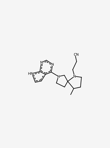 CC1CCN(CCC#N)C12CCN(c1ncnc3[nH]ccc13)C2